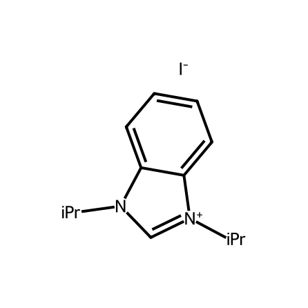 CC(C)n1c[n+](C(C)C)c2ccccc21.[I-]